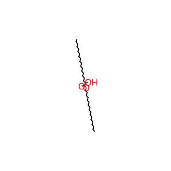 CCCCCCCCCCCCCCCCCCOC(=O)C(O)CCCCCCCCCCCCCCCCCC